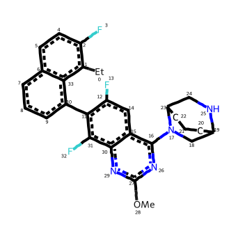 CCc1c(F)ccc2cccc(-c3c(F)cc4c(N5CC6CCCC5CN6)nc(OC)nc4c3F)c12